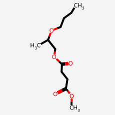 CCCCOC(C)COC(=O)CCC(=O)OC